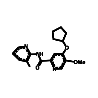 COc1cnc(C(=O)Nc2ncccc2C)cc1OC1CCCC1